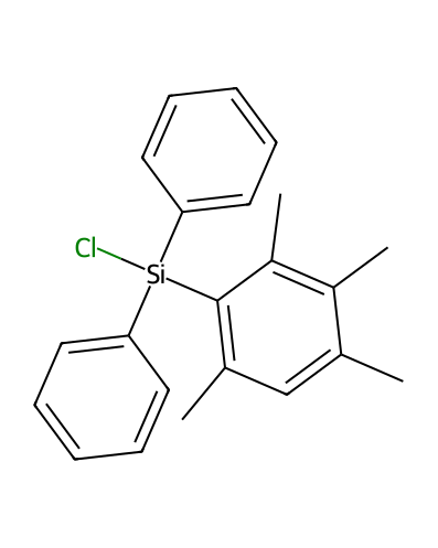 Cc1cc(C)c([Si](Cl)(c2ccccc2)c2ccccc2)c(C)c1C